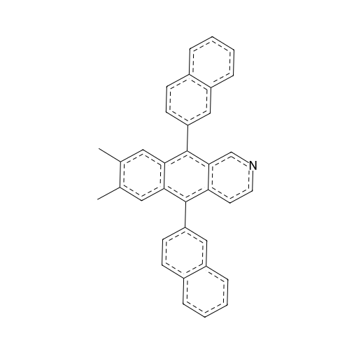 Cc1cc2c(-c3ccc4ccccc4c3)c3ccncc3c(-c3ccc4ccccc4c3)c2cc1C